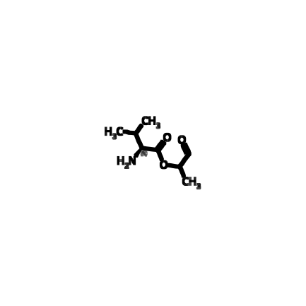 CC(C=O)OC(=O)[C@@H](N)C(C)C